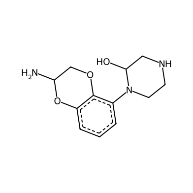 NC1COc2c(cccc2N2CCNCC2O)O1